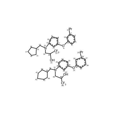 CC(C)c1cccc(Oc2cccc(N(CC3CCCC3)CC(O)C(F)(F)F)c2)c1.CC(C)c1cccc(Oc2cccc(N(CC3CCCCC3)CC(O)C(F)(F)F)c2)c1